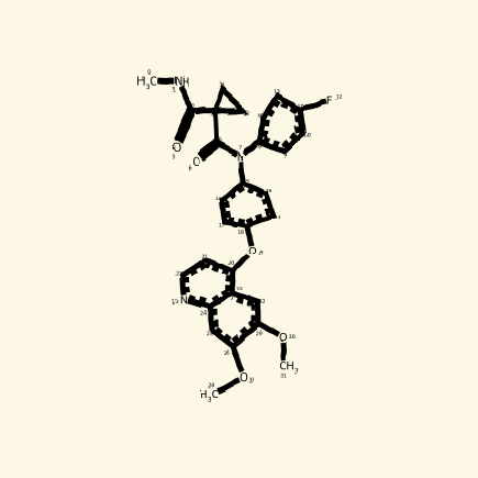 CNC(=O)C1(C(=O)N(c2ccc(F)cc2)c2ccc(Oc3ccnc4cc(OC)c(OC)cc34)cc2)CC1